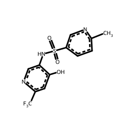 Cc1ccc(S(=O)(=O)Nc2cnc(C(F)(F)F)cc2O)cn1